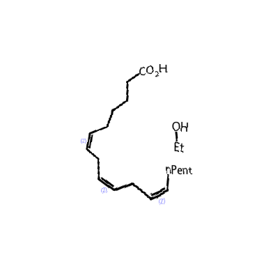 CCCCC/C=C\C/C=C\C/C=C\CCCCC(=O)O.CCO